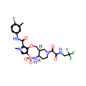 Cc1cc(NC(=O)c2c3c(cn2C)S(=O)(=O)N[C@@H]2CCN(C(=O)C(=O)NCC(F)(F)F)C[C@@H]2CO3)ccc1F